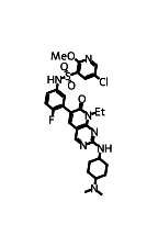 CCn1c(=O)c(-c2cc(NS(=O)(=O)c3cc(Cl)cnc3OC)ccc2F)cc2cnc(NC3CCC(N(C)C)CC3)nc21